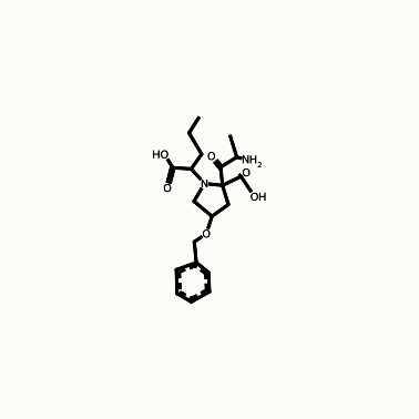 CCCC(C(=O)O)N1CC(OCc2ccccc2)CC1(C(=O)O)C(=O)C(C)N